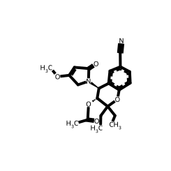 CCC1(CC)Oc2ccc(C#N)cc2[C@H](N2CC(OC)=CC2=O)[C@H]1OC(C)=O